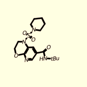 CC(C)(C)NC(=O)c1cnc2c(c1)N(S(=O)(=O)N1CCCCC1)CCO2